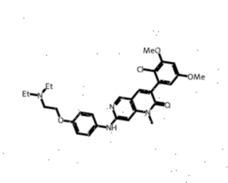 CCN(CC)CCOc1ccc(Nc2cc3c(cn2)cc(-c2cc(OC)cc(OC)c2Cl)c(=O)n3C)cc1